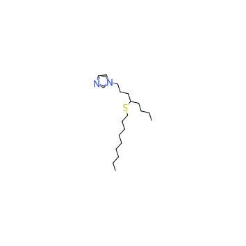 CCCCCCCCCSC(CCCC)CCCn1ccnc1